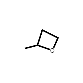 C[C]1CCO1